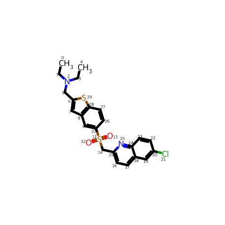 CCN(CC)Cc1cc2cc(S(=O)(=O)Cc3ccc4cc(Cl)ccc4n3)ccc2s1